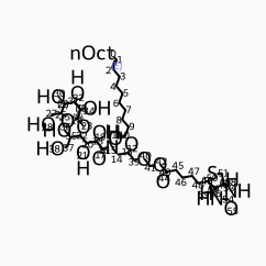 CCCCCCCC/C=C/CCCCCCCC(=O)OC(CNC(=O)C(O)C(O)C(O[C@H]1OC(CO)[C@@H](O)C(O)[C@H]1O)C(O)CO)COCOC(=O)CCCC[C@H]1SC[C@H]2NC(=O)N[C@H]21